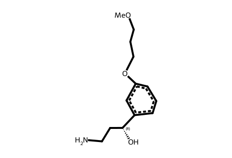 COCCCOc1cccc([C@H](O)CCN)c1